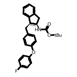 CC(C)(C)OC(=O)N[C@@H]1Cc2ccccc2[C@@H]1Cc1ccc(Oc2ccc(F)cc2)cc1